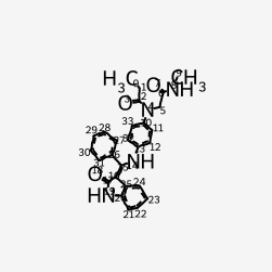 CCC(=O)N(CC(=O)NC)c1ccc(NC(=C2C(=O)Nc3ccccc32)c2ccccc2)cc1